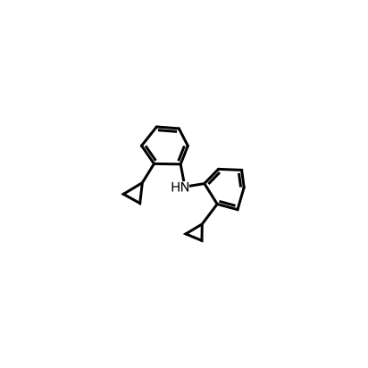 c1ccc(C2CC2)c(Nc2ccccc2C2CC2)c1